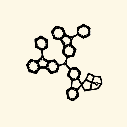 c1ccc(-n2c3ccccc3c3cc(N(c4ccc5c(c4)-c4ccccc4C54C5CC6CC7CC4C7(C6)C5)c4ccc5c6ccccc6n(-c6ccccc6)c5c4)ccc32)cc1